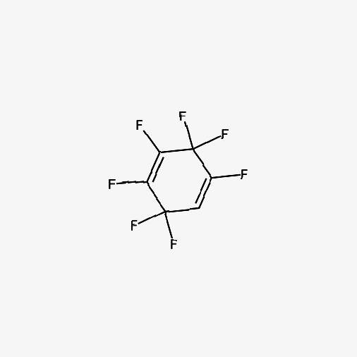 FC1=CC(F)(F)C(F)=C(F)C1(F)F